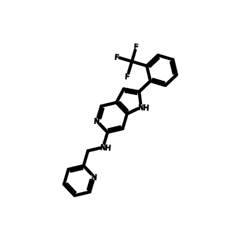 FC(F)(F)c1ccccc1-c1cc2cnc(NCc3ccccn3)cc2[nH]1